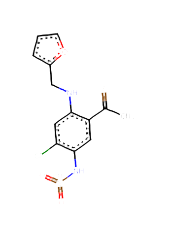 CC(=S)c1cc(N[SH](=O)=O)c(Cl)cc1NCc1ccco1